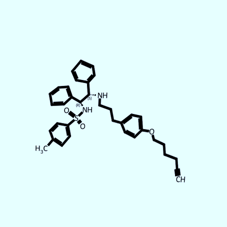 C#CCCCCOc1ccc(CCCN[C@@H](c2ccccc2)[C@H](NS(=O)(=O)c2ccc(C)cc2)c2ccccc2)cc1